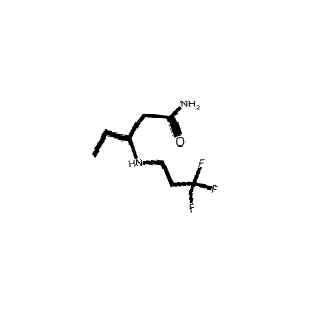 CCC(CC(N)=O)NCCC(F)(F)F